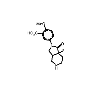 COc1ccc(N2CC3CNCCC3(F)C2=O)cc1C(=O)O